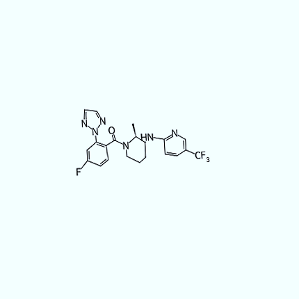 C[C@H]1[C@H](Nc2ccc(C(F)(F)F)cn2)CCCN1C(=O)c1ccc(F)cc1-n1nccn1